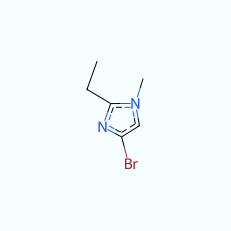 CCc1nc(Br)cn1C